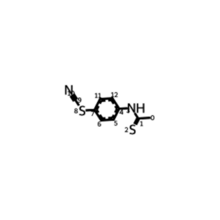 CC(=S)Nc1ccc(SC#N)cc1